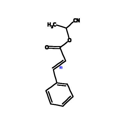 CC(C#N)OC(=O)/C=C/c1ccccc1